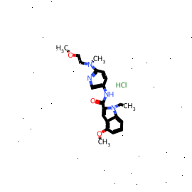 CCn1c(C(=O)Nc2ccc(N(C)CCOC)nc2)cc2c(OC)cccc21.Cl